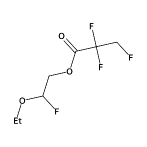 CCOC(F)COC(=O)C(F)(F)CF